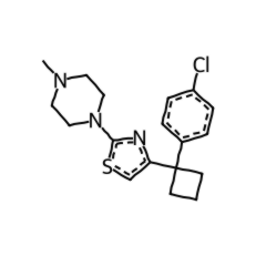 CN1CCN(c2nc(C3(c4ccc(Cl)cc4)CCC3)cs2)CC1